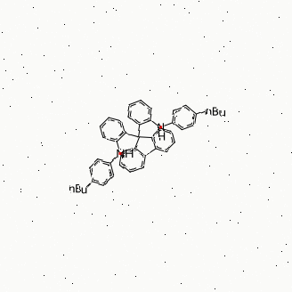 CCCCc1ccc(Nc2ccccc2C2(c3ccccc3Nc3ccc(CCCC)cc3)c3ccccc3-c3ccccc32)cc1